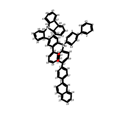 c1ccc(-c2ccc(N(c3ccc(-c4ccc(-c5ccc6ccccc6c5)cc4)cc3)c3ccc(-c4ccccc4-n4c5ccccc5c5ccccc54)cc3-c3ccccc3)cc2)cc1